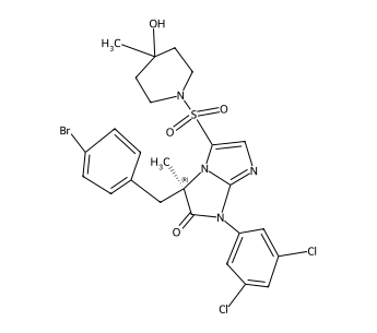 CC1(O)CCN(S(=O)(=O)c2cnc3n2[C@](C)(Cc2ccc(Br)cc2)C(=O)N3c2cc(Cl)cc(Cl)c2)CC1